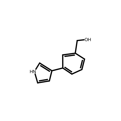 OCc1cccc(-c2cc[nH]c2)c1